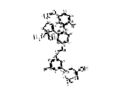 CC[C@@H](CC(=O)O)c1cc(F)cc(OCc2ccc(-c3cc(OC)ccc3F)c(C3=CCCC3(C)C)c2)c1